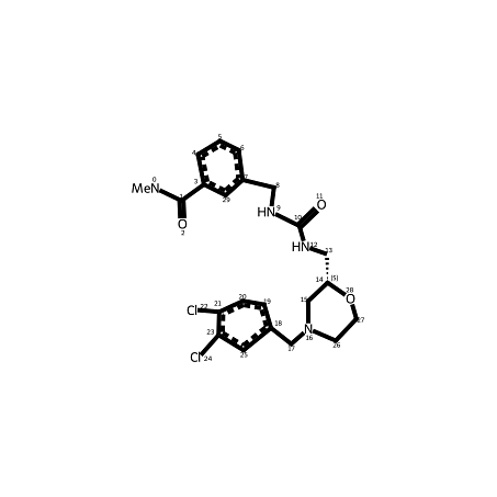 CNC(=O)c1cccc(CNC(=O)NC[C@H]2CN(Cc3ccc(Cl)c(Cl)c3)CCO2)c1